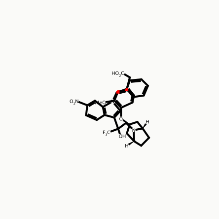 COc1cc(CC(=O)O)ccc1O[C@@H]1C[C@H]2CC[C@@H](C1)N2CC(O)(c1cn(Cc2ccccc2)c2cc([N+](=O)[O-])ccc12)C(F)(F)F